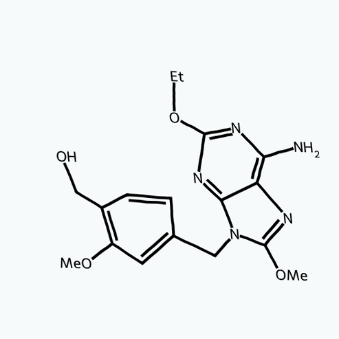 CCOc1nc(N)c2nc(OC)n(Cc3ccc(CO)c(OC)c3)c2n1